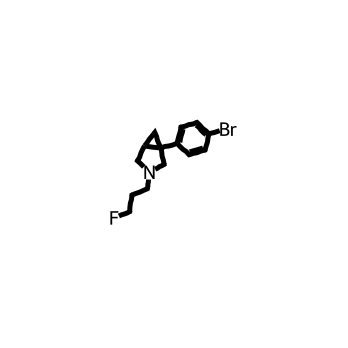 FCCCN1CC2CC2(c2ccc(Br)cc2)C1